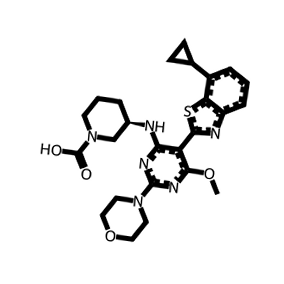 COc1nc(N2CCOCC2)nc(N[C@@H]2CCCN(C(=O)O)C2)c1-c1nc2cccc(C3CC3)c2s1